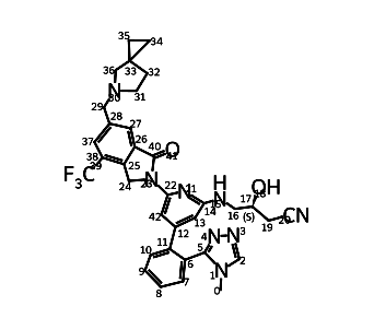 Cn1cnnc1-c1ccccc1-c1cc(NC[C@@H](O)CC#N)nc(N2Cc3c(cc(CN4CCC5(CC5)C4)cc3C(F)(F)F)C2=O)c1